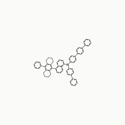 c1ccc(-c2ccc(-c3ccc(N(c4ccc(-c5ccccc5)cc4)c4cccc5c(-c6c7c(c(-c8ccccc8)c8c6CCCC8)CCCC7)cccc45)cc3)cc2)cc1